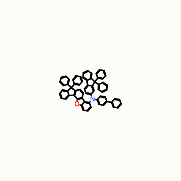 c1ccc(-c2ccc(N(c3ccc4c(c3)C(c3ccccc3)(c3ccccc3)c3ccccc3-4)c3cccc4oc5c6c(ccc5c34)C(c3ccccc3)(c3ccccc3)c3ccccc3-6)cc2)cc1